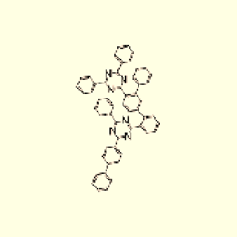 c1ccc(-c2ccc(-c3nc(-c4ccccc4)nc(-c4ccccc4-c4ccc(-c5nc(-c6ccccc6)nc(-c6ccccc6)n5)c(-c5ccccc5)c4)n3)cc2)cc1